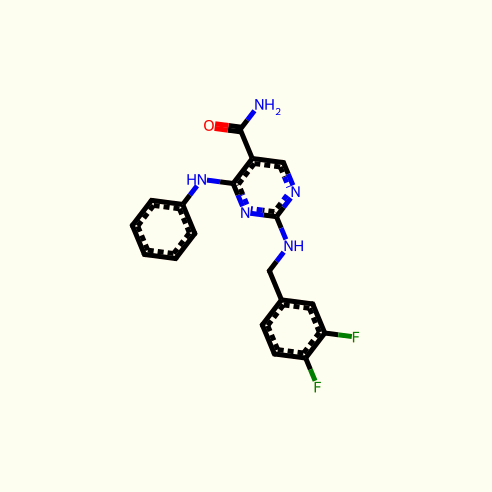 NC(=O)c1cnc(NCc2ccc(F)c(F)c2)nc1Nc1ccccc1